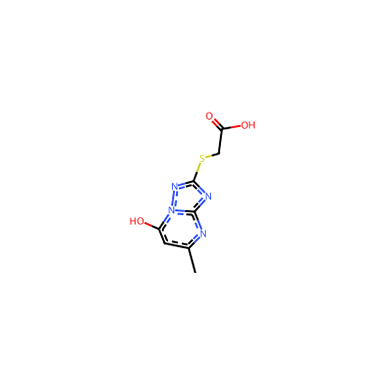 Cc1cc(O)n2nc(SCC(=O)O)nc2n1